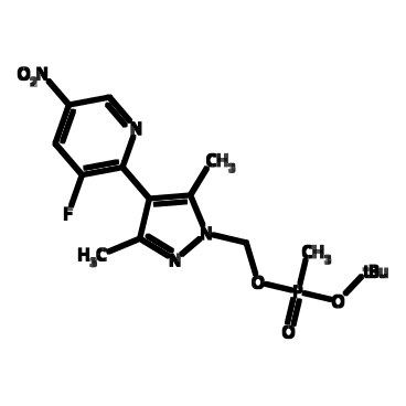 Cc1nn(COP(C)(=O)OC(C)(C)C)c(C)c1-c1ncc([N+](=O)[O-])cc1F